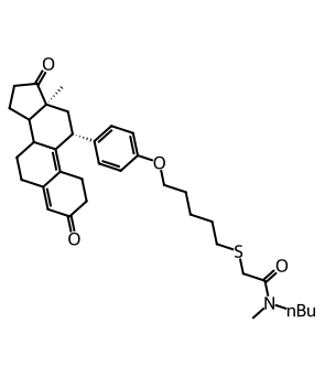 CCCCN(C)C(=O)CSCCCCCOc1ccc([C@H]2C[C@]3(C)C(=O)CCC3C3CCC4=CC(=O)CCC4=C32)cc1